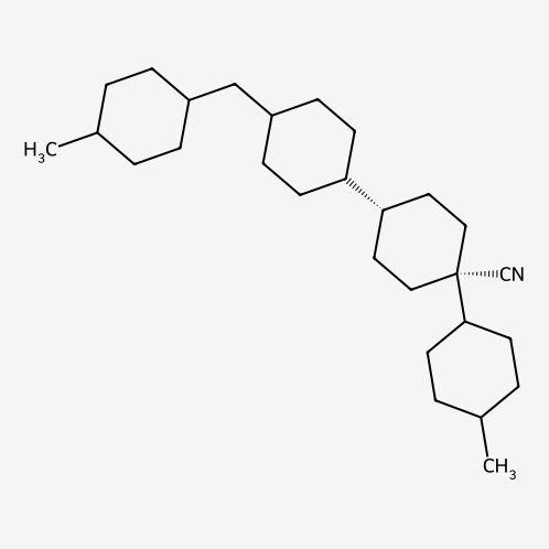 CC1CCC(CC2CCC([C@H]3CC[C@](C#N)(C4CCC(C)CC4)CC3)CC2)CC1